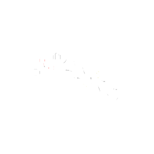 CCC(=O)OC(c1ccc2cc3c(cc2c1)sc1c2cc4ccccc4cc2sc31)C(C)C